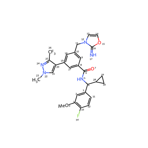 COc1cc(C(NC(=O)c2cc(Cn3ccoc3=N)cc(-c3cn(C)nc3C(F)(F)F)c2)C2CC2)ccc1F